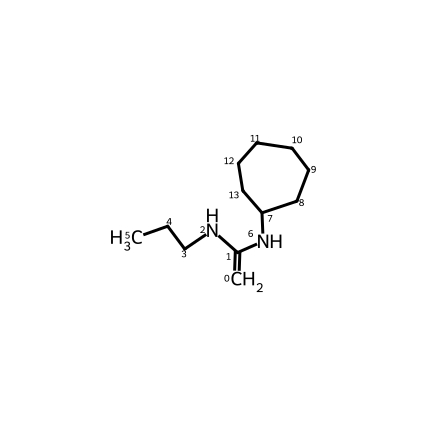 C=C(NCCC)NC1CCCCCC1